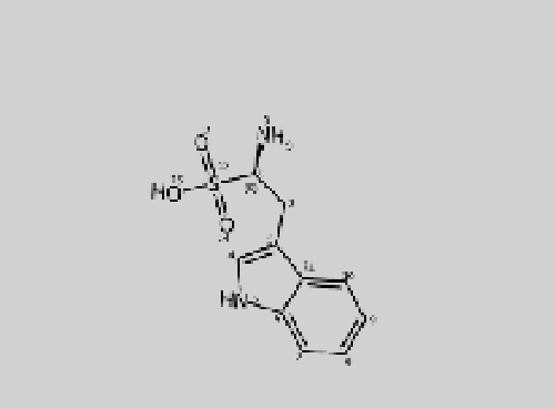 N[C@@H](Cc1c[nH]c2ccccc12)S(=O)(=O)O